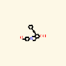 O=Cc1ccc(N2CCc3cc(O)cc(C#Cc4ccccc4)c3C2)cc1